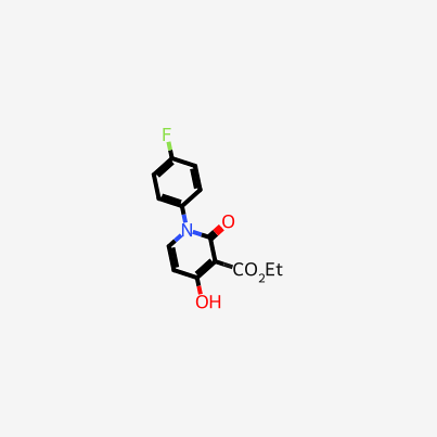 CCOC(=O)c1c(O)ccn(-c2ccc(F)cc2)c1=O